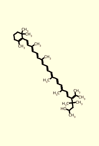 CC(C)=C(/C=C/C(C)=C/C=C/C(C)=C/C=C/C=C(C)/C=C/C=C(C)/C=C/C1=C(C)CCCC1(C)C)C(C)(C)CC(C)O